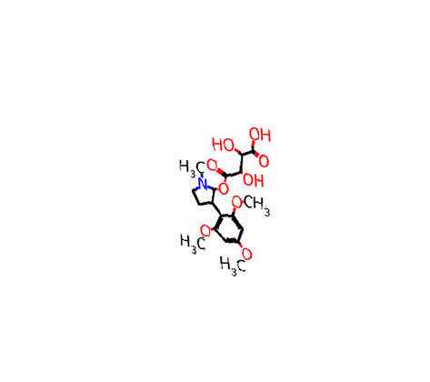 COc1cc(OC)c(C2CCN(C)C2OC(=O)C(O)C(O)C(=O)O)c(OC)c1